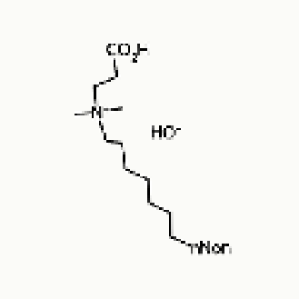 CCCCCCCCCCCCCCCC[N+](C)(C)CCC(=O)O.[OH-]